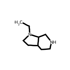 [CH2]CN1CCC2CCNCC21